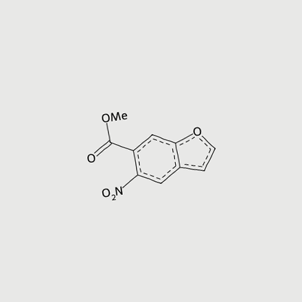 COC(=O)c1cc2occc2cc1[N+](=O)[O-]